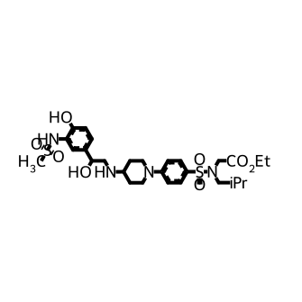 CCOC(=O)CN(CC(C)C)S(=O)(=O)c1ccc(N2CCC(NCC(O)c3ccc(O)c(NS(C)(=O)=O)c3)CC2)cc1